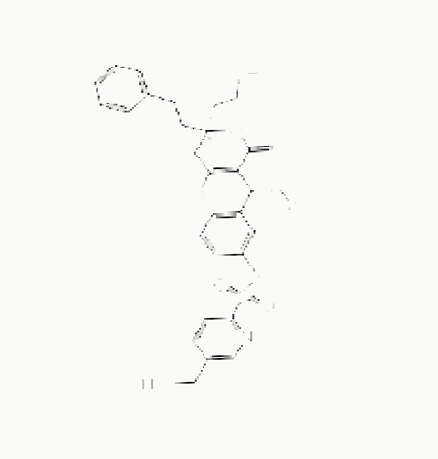 CCC[C@@]1(CCc2ccccc2)CC(O)=C([C@H](CC)c2cccc(NS(=O)(=O)c3ccc(CC)cn3)c2)C(=O)O1